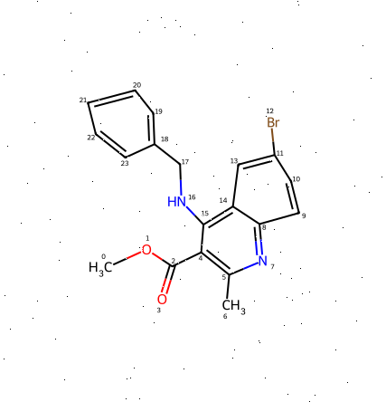 COC(=O)c1c(C)nc2ccc(Br)cc2c1NCc1ccccc1